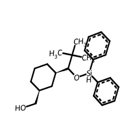 CC(C)(C)C(O[SiH](c1ccccc1)c1ccccc1)[C@@H]1CCC[C@H](CO)C1